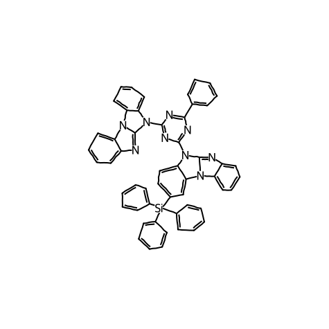 c1ccc(-c2nc(-n3c4ccccc4n4c5ccccc5nc34)nc(-n3c4ccc([Si](c5ccccc5)(c5ccccc5)c5ccccc5)cc4n4c5ccccc5nc34)n2)cc1